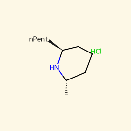 CCCCC[C@H]1CCC[C@H](C)N1.Cl